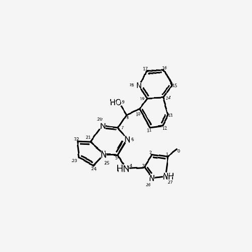 Cc1cc(Nc2nc(C(O)c3cccc4cccnc34)nc3cccn23)n[nH]1